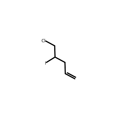 C=CCC(I)CCl